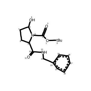 CC(C)(C)OC(=O)N1C(O)CCC1C(=O)NCc1ccccc1